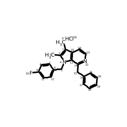 Cc1c(C)n(Cc2ccc(F)cc2)c2c(Cc3ccccc3)nccc12.Cl